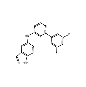 Fc1cc(F)cc(-c2nccc(Nc3ccc4[nH]ncc4c3)n2)c1